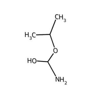 CC(C)OC(N)O